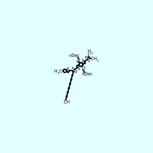 C#CC#CC#CC#CC#CC#CC#Cc1nc(-c2cc3c(OCCCCCCCCCCCC)c4sc(-c5nc(C)c(C)s5)cc4c(OCCCCCCCCCCCC)c3s2)sc1-c1cc2c(s1)C=C(C)C2